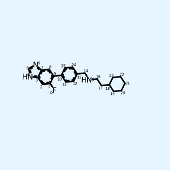 Fc1cc2[nH]cnc2cc1-c1ccc(CNCCC2CCCCC2)cc1